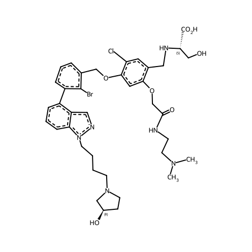 CN(C)CCNC(=O)COc1cc(OCc2cccc(-c3cccc4c3cnn4CCCCN3CC[C@@H](O)C3)c2Br)c(Cl)cc1CN[C@@H](CO)C(=O)O